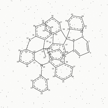 CC1C=CC=C(c2ccc(N(c3ccccc3)c3cccc4c3C(C)(C)c3ccccc3S4)c3ccccc23)C1C1(c2ccccc2)c2ccccc2-c2ccccc21